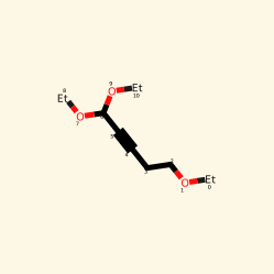 CCOCCC#CC(OCC)OCC